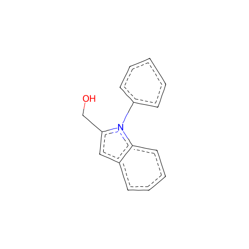 OCc1cc2ccccc2n1-c1ccccc1